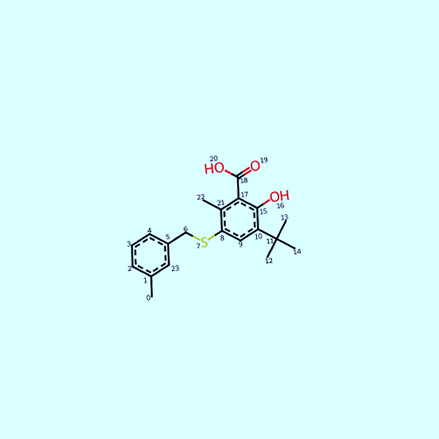 Cc1cccc(CSc2cc(C(C)(C)C)c(O)c(C(=O)O)c2C)c1